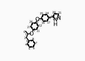 CC(Cc1ccccc1)Oc1ccc(Oc2ccc(-c3ccn[nH]3)cc2)cc1